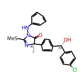 CSC1=N[C@](C)(c2ccc([C@H](O)c3ccc(Cl)cc3)cc2)C(=O)N1Nc1ccccc1